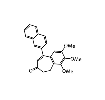 COc1cc2c(c(OC)c1OC)CCC(=O)C=C2c1ccc2ccccc2c1